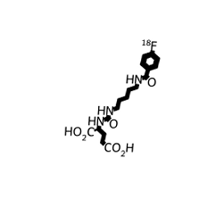 O=C(O)CC[C@H](NC(=O)NCCCCCNC(=O)c1ccc([18F])cc1)C(=O)O